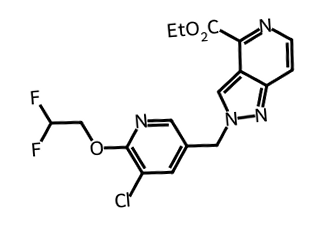 CCOC(=O)c1nccc2nn(Cc3cnc(OCC(F)F)c(Cl)c3)cc12